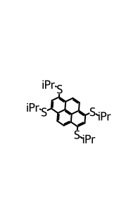 CC(C)Sc1cc(SC(C)C)c2ccc3c(SC(C)C)cc(SC(C)C)c4ccc1c2c43